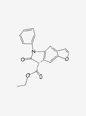 CCOC(=O)C1C(=O)N(c2ccccc2)c2cc3ccoc3cc21